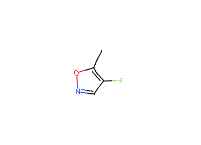 Cc1oncc1F